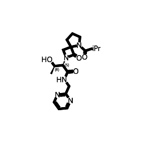 CC(C)C(=O)N1CCCC12CN([C@H](C(=O)NCc1ncccn1)[C@@H](C)O)C2=O